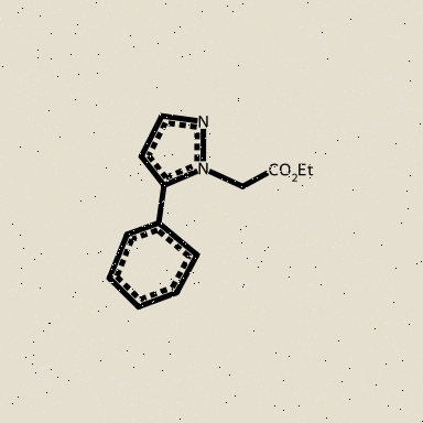 CCOC(=O)Cn1nccc1-c1ccccc1